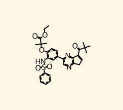 CCOC(=O)C(C)(C)Oc1ccc(-c2cnc3c(n2)C(C(=O)C(C)(C)C)=CC3)cc1NS(=O)(=O)c1ccccc1